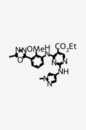 CCOC(=O)c1cnc(Nc2cnn(C)c2)nc1Nc1cccc(-c2nnc(C)o2)c1OC